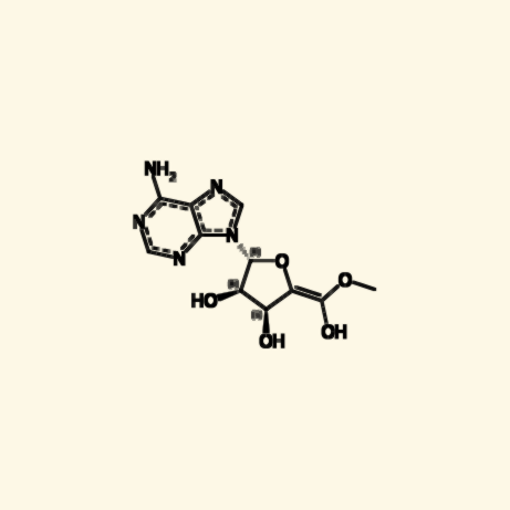 COC(O)=C1O[C@@H](n2cnc3c(N)ncnc32)[C@H](O)[C@@H]1O